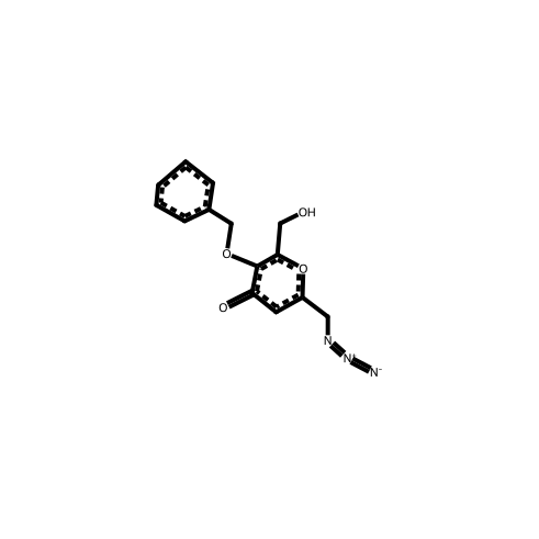 [N-]=[N+]=NCc1cc(=O)c(OCc2ccccc2)c(CO)o1